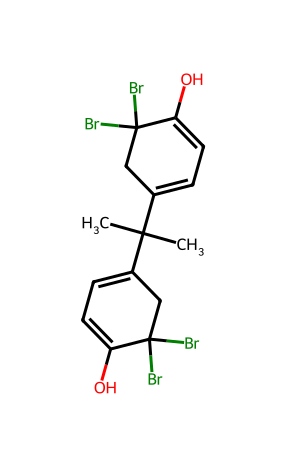 CC(C)(C1=CC=C(O)C(Br)(Br)C1)C1=CC=C(O)C(Br)(Br)C1